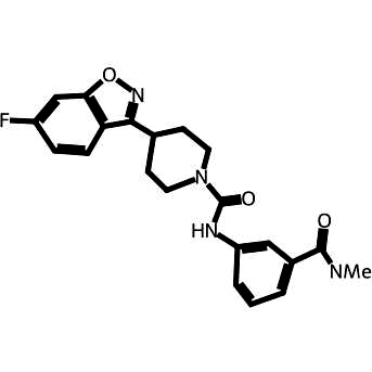 CNC(=O)c1cccc(NC(=O)N2CCC(c3noc4cc(F)ccc34)CC2)c1